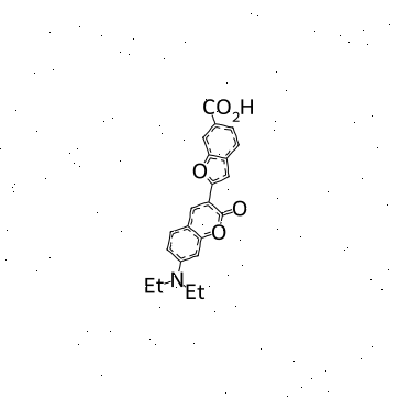 CCN(CC)c1ccc2cc(-c3cc4ccc(C(=O)O)cc4o3)c(=O)oc2c1